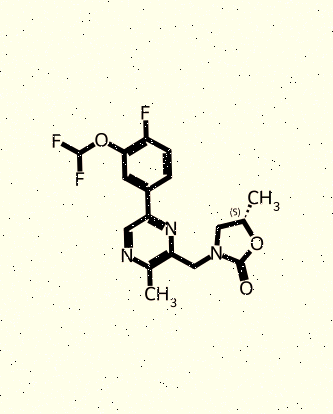 Cc1ncc(-c2ccc(F)c(OC(F)F)c2)nc1CN1C[C@H](C)OC1=O